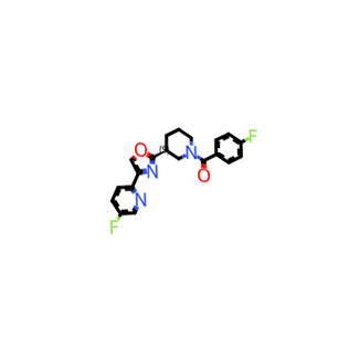 O=C(c1ccc(F)cc1)N1CCC[C@H](c2nc(-c3ccc(F)cn3)co2)C1